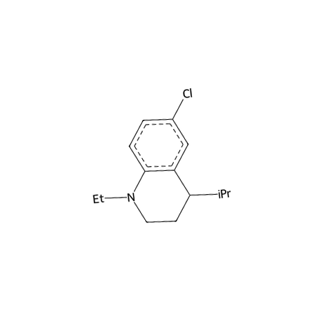 CCN1CCC(C(C)C)c2cc(Cl)ccc21